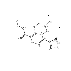 CCOC(=O)C1=C(CC)N(CNC)C(c2nccs2)=NC1